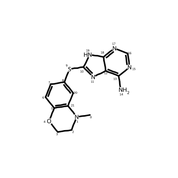 CN1CCOc2ccc(Sc3nc4c(N)ncnc4[nH]3)cc21